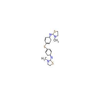 CN1CCSC1N=C1C=CC(SC2=CCC(=NC3SCCN3C)C=C2)=CC1